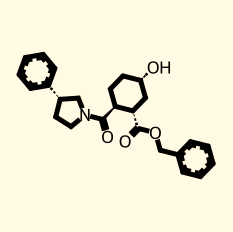 O=C(OCc1ccccc1)[C@H]1C[C@@H](O)CC[C@@H]1C(=O)N1CC[C@H](c2ccccc2)C1